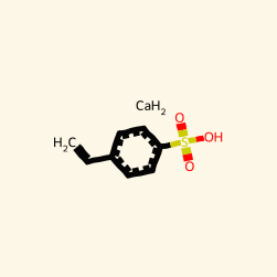 C=Cc1ccc(S(=O)(=O)O)cc1.[CaH2]